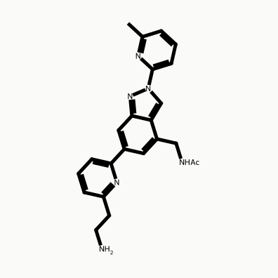 CC(=O)NCc1cc(-c2cccc(CCN)n2)cc2nn(-c3cccc(C)n3)cc12